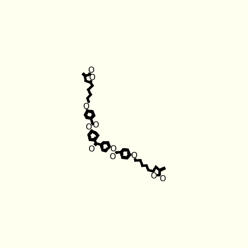 C=C1CC(CCCCCOc2ccc(C(=O)Oc3ccc(C(=O)c4ccc(OC(=O)c5ccc(OCCCCCC6CC(=C)C(=O)O6)cc5)cc4)cc3)cc2)OC1=O